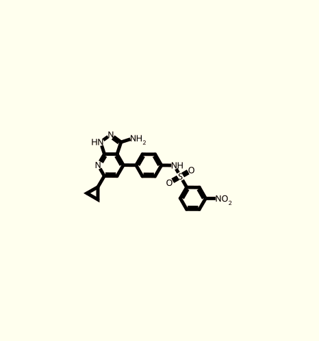 Nc1n[nH]c2nc(C3CC3)cc(-c3ccc(NS(=O)(=O)c4cccc([N+](=O)[O-])c4)cc3)c12